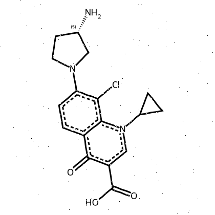 N[C@H]1CCN(c2ccc3c(=O)c(C(=O)O)cn(C4CC4)c3c2Cl)C1